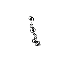 C=C(C)C(=O)OCCCCCCOc1ccc(OC(=O)/C=C/c2ccc(OCCCOC(=O)C(=C)CC(=O)OC3CCCCC3)cc2)cc1